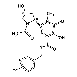 CC(=O)N1C[C@H](O)C[C@H]1c1nc(C(=O)NCc2ccc(F)cc2)c(O)c(=O)n1C